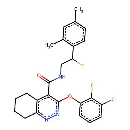 Cc1ccc(C(F)CNC(=O)c2c(Oc3cccc(Cl)c3F)nnc3c2CCCC3)c(C)c1